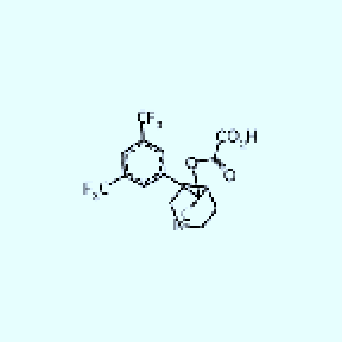 O=C(O)C(=O)OC1(c2cc(C(F)(F)F)cc(C(F)(F)F)c2)CN2CCC1CC2